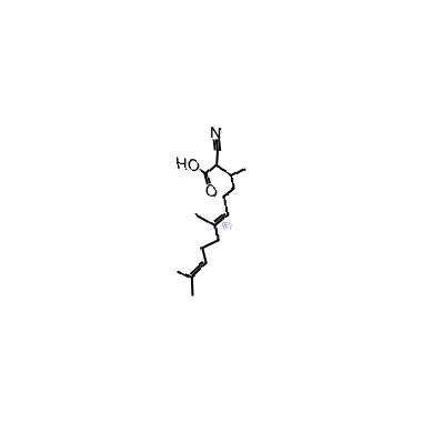 CC(C)=CCC/C(C)=C/CCC(C)C(C#N)C(=O)O